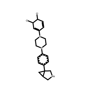 ClC1C=CC(N2CCN(c3ccc(C45CNCC4C5)cc3)CC2)=CC1Cl